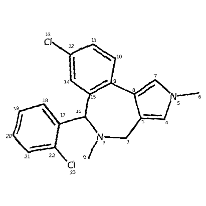 CN1Cc2cn(C)cc2-c2ccc(Cl)cc2C1c1ccccc1Cl